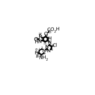 C[C@@H]1CN(c2ncc(Cl)c(Nc3cc(OCC(=O)O)c4c(c3)[nH]c(=O)n4C)n2)C[C@H](N)C1(F)F